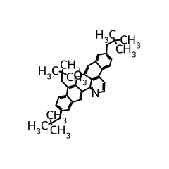 CC(C)(C)Cc1ccc2c(CC(C)(C)C)c3c(cc2c1)-c1nccc2c1c(cc1cc(CC(C)(C)C)ccc12)O3